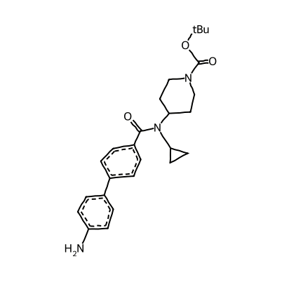 CC(C)(C)OC(=O)N1CCC(N(C(=O)c2ccc(-c3ccc(N)cc3)cc2)C2CC2)CC1